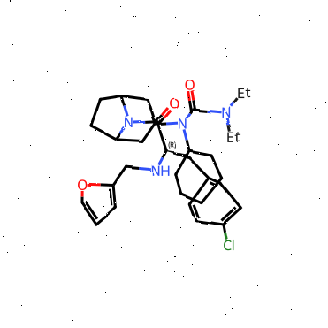 CCN(CC)C(=O)N(C1CCCCC1)C1CC2CCC(C1)N2C(=O)[C@@H](Cc1ccc(Cl)cc1)NCc1ccco1